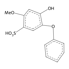 COc1cc(O)c(Oc2ccccc2)cc1S(=O)(=O)O